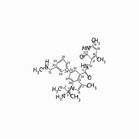 CC[C@@](C)(N)n1cc(C)c2c(C(=O)NCc3c(C)cc(C)[nH]c3=O)cc(-c3cccc(CNC)c3)cc21